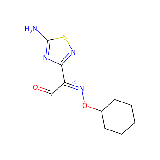 Nc1nc(/C([C]=O)=N/OC2CCCCC2)ns1